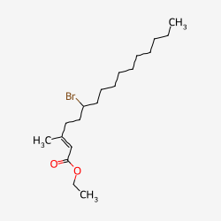 CCCCCCCCCCC(Br)CCC(C)=CC(=O)OCC